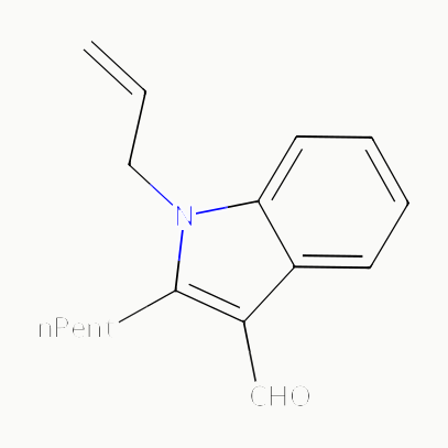 C=CCn1c(CCCCC)c(C=O)c2ccccc21